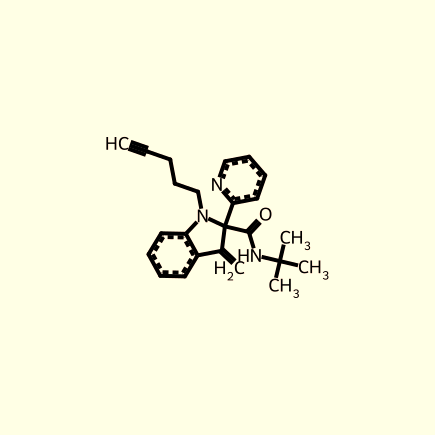 C#CCCCN1c2ccccc2C(=C)C1(C(=O)NC(C)(C)C)c1ccccn1